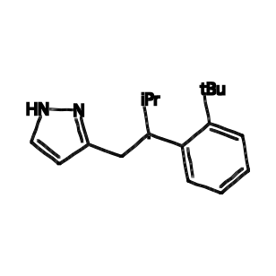 CC(C)[C](Cc1cc[nH]n1)c1ccccc1C(C)(C)C